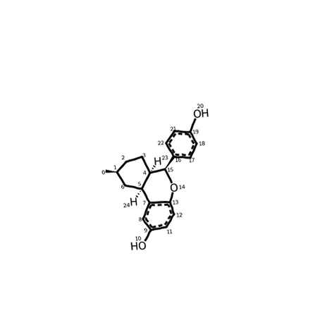 C[C@H]1CC[C@@H]2[C@H](C1)c1cc(O)ccc1O[C@@H]2c1ccc(O)cc1